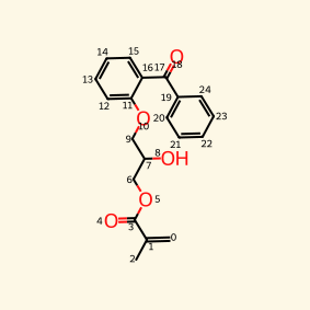 C=C(C)C(=O)OCC(O)COc1ccccc1C(=O)c1ccccc1